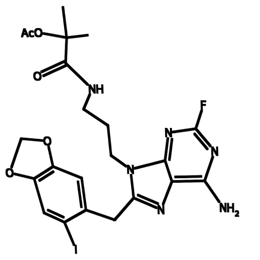 CC(=O)OC(C)(C)C(=O)NCCCn1c(Cc2cc3c(cc2I)OCO3)nc2c(N)nc(F)nc21